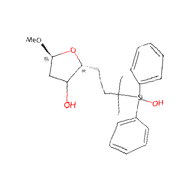 CO[C@@H]1CC(O)[C@@H](CCC(C)(C)[Si](O)(c2ccccc2)c2ccccc2)O1